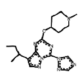 CCC(C)c1cnn2c(-n3cncn3)nc(OC3CCN(C)CC3)nc12